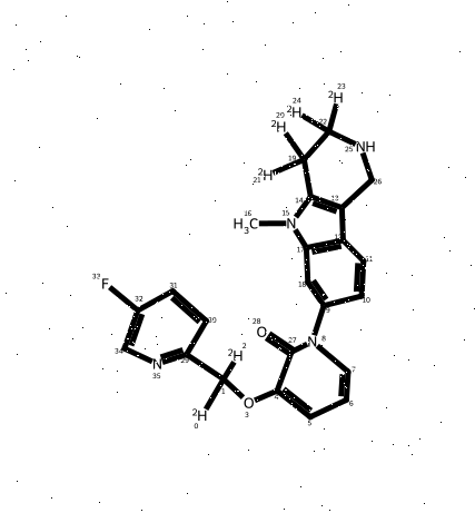 [2H]C([2H])(Oc1cccn(-c2ccc3c4c(n(C)c3c2)C([2H])([2H])C([2H])([2H])NC4)c1=O)c1ccc(F)cn1